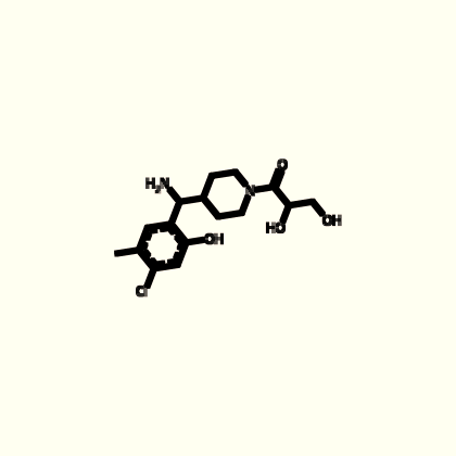 Cc1cc(C(N)C2CCN(C(=O)C(O)CO)CC2)c(O)cc1Cl